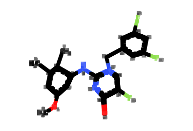 COc1cc(C)c(C)c(Nc2nc(=O)c(F)cn2Cc2cc(F)cc(F)c2)c1